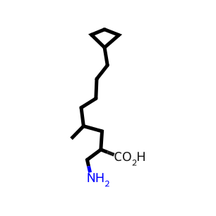 CC(CCCCC1CCC1)CC(CN)C(=O)O